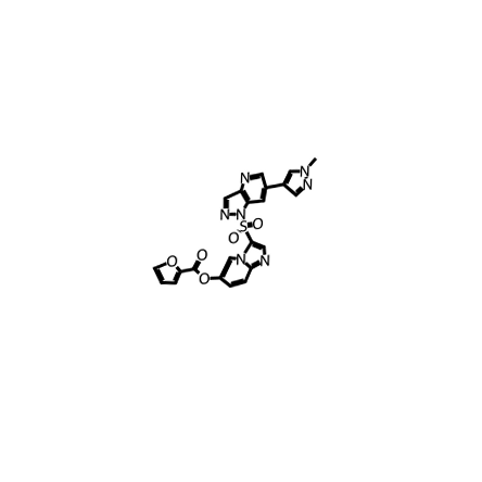 Cn1cc(-c2cnc3cnn(S(=O)(=O)c4cnc5ccc(OC(=O)c6ccco6)cn45)c3c2)cn1